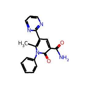 Cc1c(-c2ncccn2)cc(C(N)=O)c(=O)n1-c1ccccc1